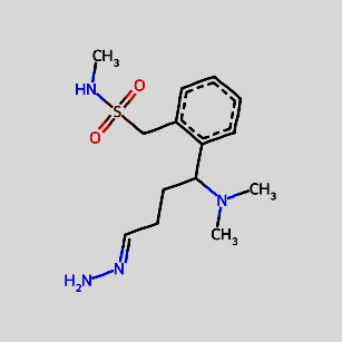 CNS(=O)(=O)Cc1ccccc1C(CCC=NN)N(C)C